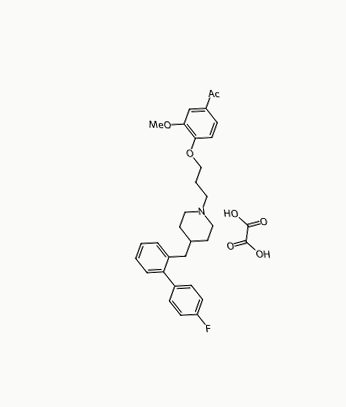 COc1cc(C(C)=O)ccc1OCCCN1CCC(Cc2ccccc2-c2ccc(F)cc2)CC1.O=C(O)C(=O)O